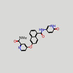 CNC(=O)c1cc(Oc2ccc3c(C(=O)Nc4ccc(=O)[nH]c4)cccc3c2)ccn1